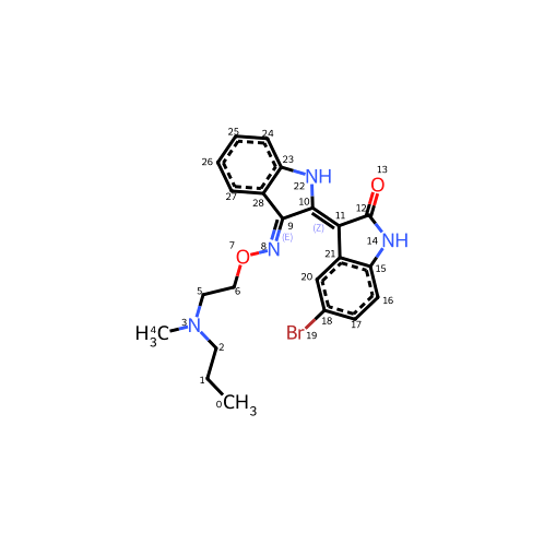 CCCN(C)CCO/N=C1/C(=C2/C(=O)Nc3ccc(Br)cc32)Nc2ccccc21